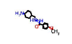 COc1ccc(C(=O)NNCC2CCC(N)CC2)cc1